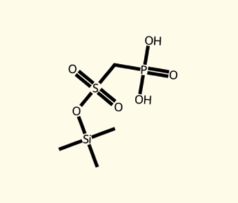 C[Si](C)(C)OS(=O)(=O)CP(=O)(O)O